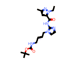 CCn1nc(C)cc1C(=O)Nc1nccn1C/C=C/CNC(=O)OC(C)(C)C